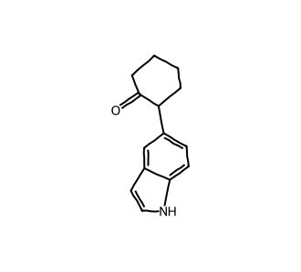 O=C1CCCCC1c1ccc2[nH]ccc2c1